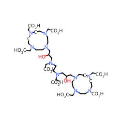 O=C(O)CN1CCN(CC(=O)O)CCN(CC(O)CN(CCN(CC(=O)O)CC(O)CN2CCN(CC(=O)O)CCN(C(=O)O)CCN(CC(=O)O)CC2)CC(=O)O)CCN(CC(=O)O)CC1